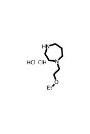 CCOCCN1CCCNCC1.Cl.Cl